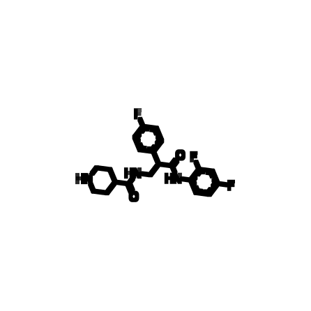 O=C(NCC(C(=O)Nc1ccc(F)cc1F)c1ccc(F)cc1)C1CCNCC1